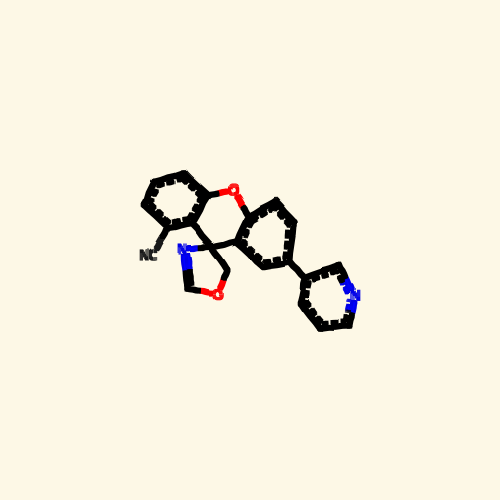 N#Cc1cccc2c1C1(COC=N1)c1cc(-c3cccnc3)ccc1O2